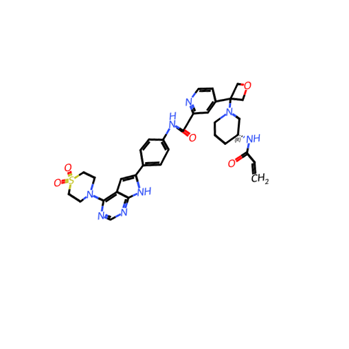 C=CC(=O)N[C@@H]1CCCN(C2(c3ccnc(C(=O)Nc4ccc(-c5cc6c(N7CCS(=O)(=O)CC7)ncnc6[nH]5)cc4)c3)COC2)C1